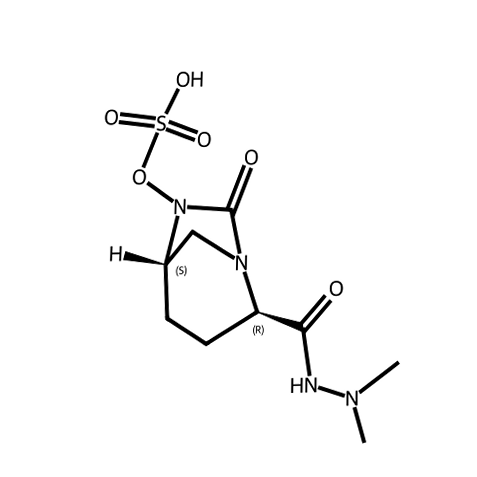 CN(C)NC(=O)[C@H]1CC[C@H]2CN1C(=O)N2OS(=O)(=O)O